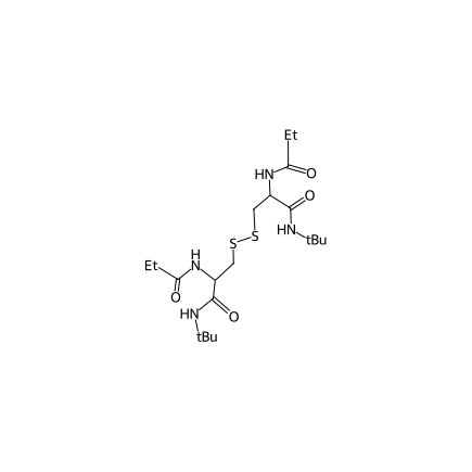 CCC(=O)NC(CSSCC(NC(=O)CC)C(=O)NC(C)(C)C)C(=O)NC(C)(C)C